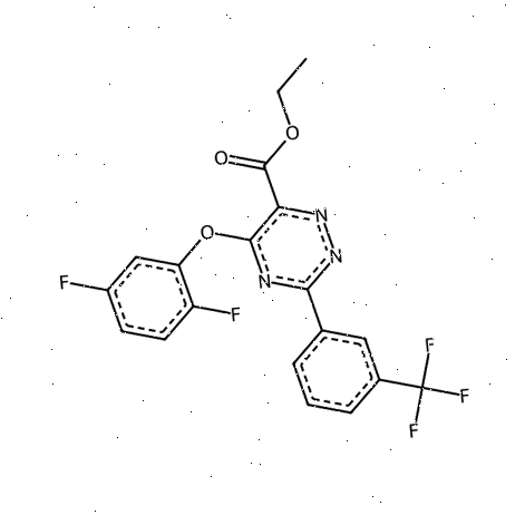 CCOC(=O)c1nnc(-c2cccc(C(F)(F)F)c2)nc1Oc1cc(F)ccc1F